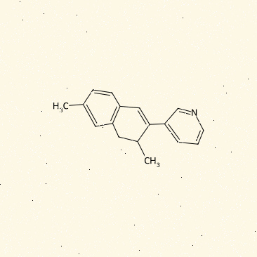 Cc1ccc2c(c1)CC(C)C(c1cccnc1)=C2